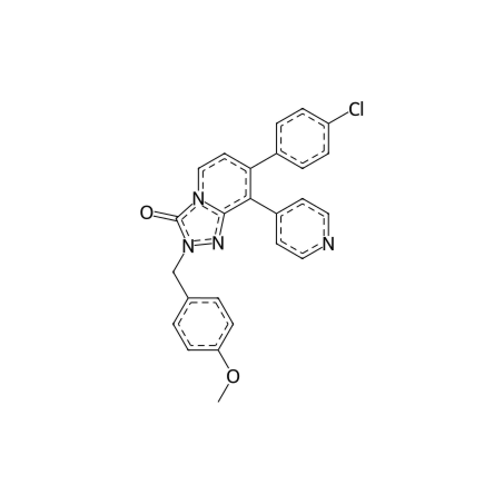 COc1ccc(Cn2nc3c(-c4ccncc4)c(-c4ccc(Cl)cc4)ccn3c2=O)cc1